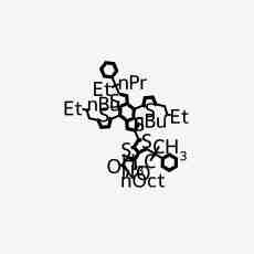 CCCCCCCCN1C(=O)c2sc3c(-c4cc5c(-c6ccc(CC(CC)CCCC)s6)c6sc(C(CC)(CCC)c7ccccc7)cc6c(-c6ccc(CC(CC)CCCC)s6)c5s4)sc(C(C)(C)c4ccccc4)c3c2C1=O